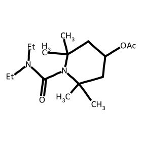 CCN(CC)C(=O)N1C(C)(C)CC(OC(C)=O)CC1(C)C